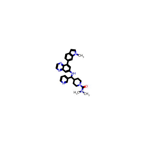 CN(C)C(=O)N1CCC(C(Nc2cc(-c3ccc4ccn(C)c4c3)c3nccnc3c2)c2cccnc2)CC1